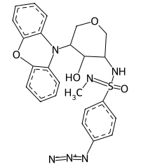 CN=S(=O)(NC1COCC(N2c3ccccc3Oc3ccccc32)C1O)c1ccc(N=[N+]=[N-])cc1